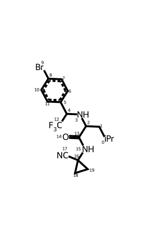 CC(C)CC(NC(c1ccc(Br)cc1)C(F)(F)F)C(=O)NC1(C#N)CC1